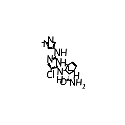 Cn1cc(Nc2ncc(Cl)c(N[C@H]3[C@@H](C(N)=O)[C@H]4C=C[C@@H]3C4)n2)cn1